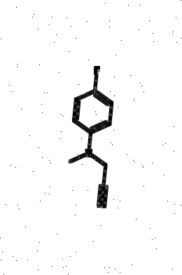 C#CCN(C)c1ccc(F)cc1